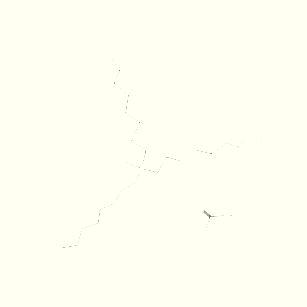 CCCCCCCC[N+](C)(CCCCCCCC)CCCCCCCC.O=C([O-])O